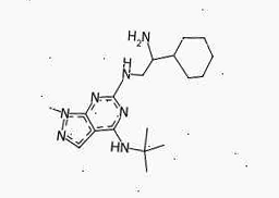 Cn1ncc2c(NC(C)(C)C)nc(NCC(N)C3CCCCC3)nc21